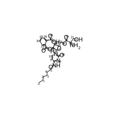 CCCCCCONc1ccn([C@@H]2O[C@H](COC(=O)[C@H](N)CO)[C@H]3OC(=O)c4ccccc4C(=O)O[C@H]32)c(=O)n1